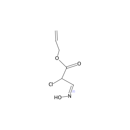 C=CCOC(=O)C(Cl)/C=N\O